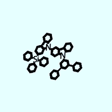 c1ccc(-c2cc(-c3ccccc3)cc(-n3c4ccccc4c4cc(-n5c6ccccc6c6ccc([Si](c7ccccc7)(c7ccccc7)c7ccccc7)cc65)ccc43)c2)cc1